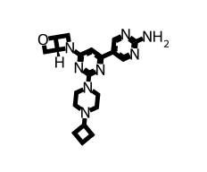 Nc1ncc(-c2cc(N3CC4OC[C@H]43)nc(N3CCN(C4CCC4)CC3)n2)cn1